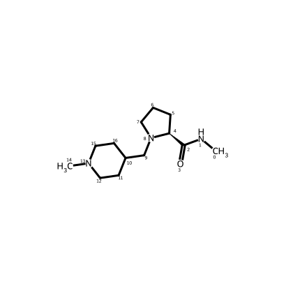 CNC(=O)[C@@H]1CCCN1CC1CCN(C)CC1